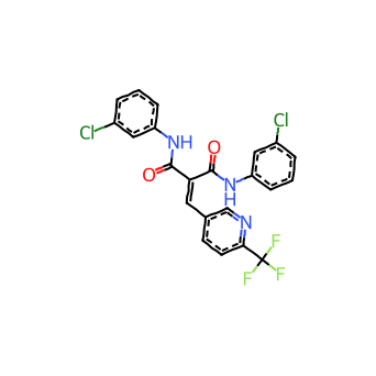 O=C(Nc1cccc(Cl)c1)C(=Cc1ccc(C(F)(F)F)nc1)C(=O)Nc1cccc(Cl)c1